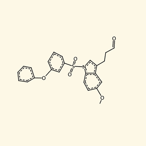 COc1ccc2c(c1)c(CCC=O)cn2S(=O)(=O)c1cccc(Oc2ccccc2)c1